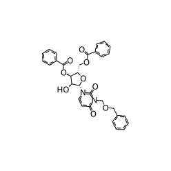 O=C(OC[C@@H]1O[C@H](n2ccc(=O)n(COCc3ccccc3)c2=O)[C@@H](O)[C@H]1OC(=O)c1ccccc1)c1ccccc1